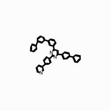 c1ccc(-c2ccc(-c3cc(-c4cccc(-c5cccc(-c6ccccc6)c5)c4)nc(-c4ccc(-c5cccnc5)cc4)n3)cc2)cc1